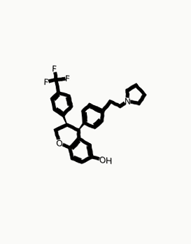 Oc1ccc2c(c1)[C@H](c1ccc(CCN3CCCC3)cc1)[C@H](c1ccc(C(F)(F)F)cc1)CO2